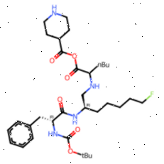 CCCCC(NC[C@@H](CCCCCF)NC(=O)[C@@H](Cc1ccccc1)NC(=O)OC(C)(C)C)C(=O)OC(=O)C1CCNCC1